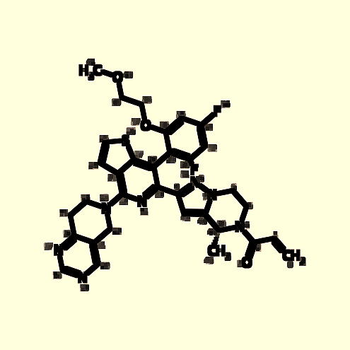 C=CC(=O)N1CCn2nc(-c3nc(N4CCc5ncncc5C4)c4ccsc4c3-c3c(F)cc(F)cc3OCCOC)cc2[C@H]1C